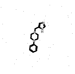 c1ccc(N2CCN(Cc3cnc[nH]3)CC2)cc1